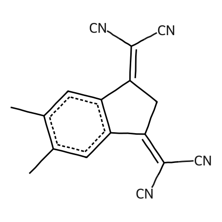 [C-]#[N+]/C(C#N)=C1/C/C(=C(\C#N)[N+]#[C-])c2cc(C)c(C)cc21